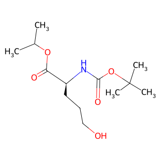 CC(C)OC(=O)[C@H](CCCO)NC(=O)OC(C)(C)C